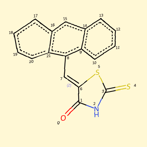 O=C1NC(=S)S/C1=C\c1c2ccccc2cc2ccccc12